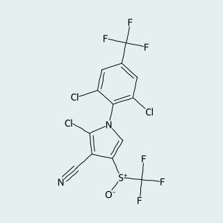 N#Cc1c([S+]([O-])C(F)(F)F)cn(-c2c(Cl)cc(C(F)(F)F)cc2Cl)c1Cl